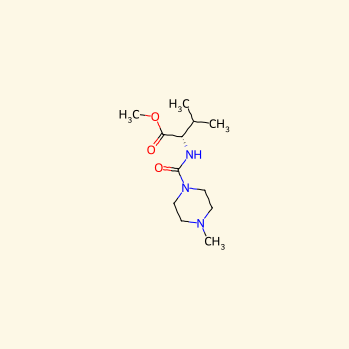 COC(=O)[C@@H](NC(=O)N1CCN(C)CC1)C(C)C